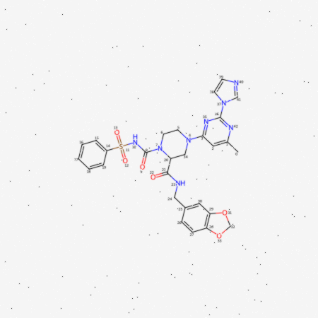 Cc1cc(N2CCN(C(=O)NS(=O)(=O)c3ccccc3)C(C(=O)NCc3ccc4c(c3)OCO4)C2)nc(-n2ccnc2)n1